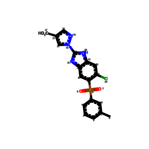 Cc1cccc(S(=O)(=O)c2cc3nc(-n4cc(C(=O)O)cn4)[nH]c3cc2Cl)c1